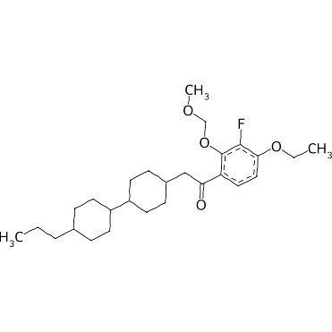 CCCC1CCC(C2CCC(CC(=O)c3ccc(OCC)c(F)c3OCOC)CC2)CC1